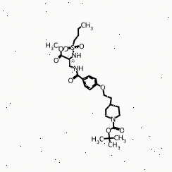 CCCCS(=O)(=O)N[C@@H](CNC(=O)c1ccc(OCCC2CCN(C(=O)OC(C)(C)C)CC2)cc1)C(=O)OC